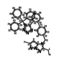 CCc1nn2nc(C)cc2n1Cc1ccc(-c2ccccc2-c2nnnn2C(c2ccccc2)(c2ccccc2)c2ccccc2)cc1